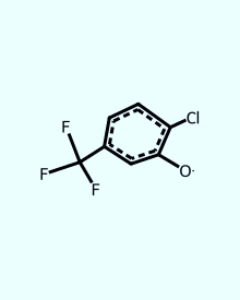 [O]c1cc(C(F)(F)F)ccc1Cl